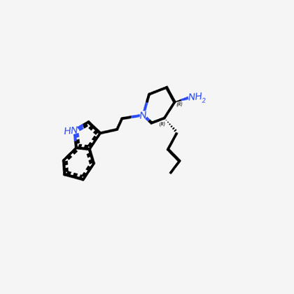 CCCC[C@@H]1CN(CCc2c[nH]c3ccccc23)CC[C@H]1N